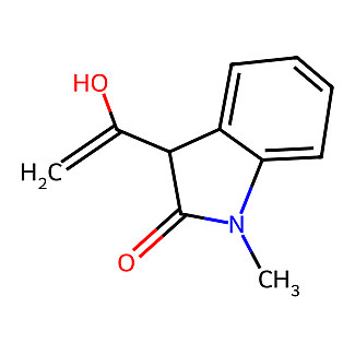 C=C(O)C1C(=O)N(C)c2ccccc21